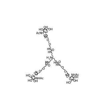 CC(=O)N[C@@H]1[C@@H](O)[C@@H](O)[C@@H](CO)O[C@@H]1c1cc(COCCOCCNC(=O)NCCCC(N)(CCCNC(=O)NCCOCCOCc2cc([C@H]3O[C@H](CO)[C@H](O)[C@H](O)[C@H]3NC(C)=O)on2)CCCNC(=O)NCCOCCOCc2cc([C@H]3O[C@H](CO)[C@H](O)[C@H](O)[C@H]3NC(C)=O)on2)no1